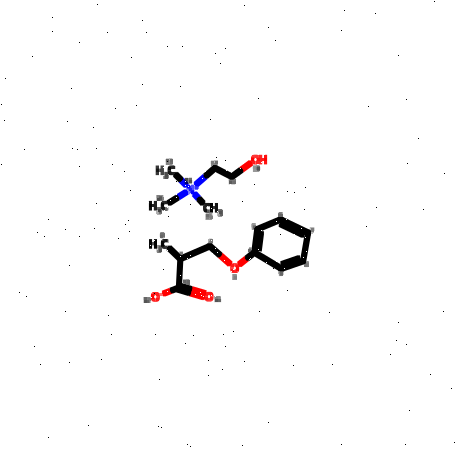 CC(COc1ccccc1)C(=O)[O-].C[N+](C)(C)CCO